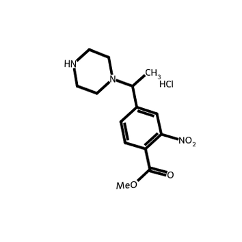 COC(=O)c1ccc(C(C)N2CCNCC2)cc1[N+](=O)[O-].Cl